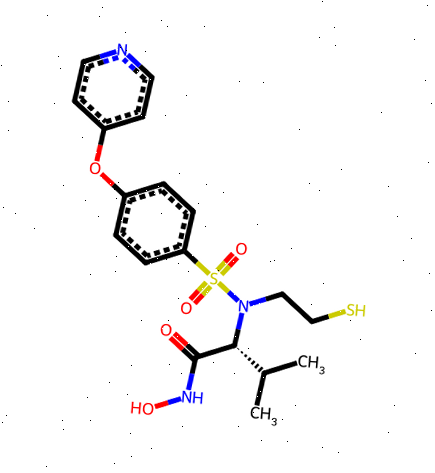 CC(C)[C@H](C(=O)NO)N(CCS)S(=O)(=O)c1ccc(Oc2ccncc2)cc1